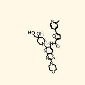 Cc1cc(-c2ccc(C(=O)Nc3cc4sc(N5CCOCC5)nc4nc3N3CCC(O)(CO)CC3)o2)ccn1